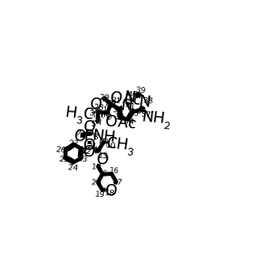 CC(=O)O[C@@H]1[C@@](C)(COP(=O)(N[C@@H](C)C(=O)OCC2CCOCC2)Oc2ccccc2)OC[C@]1(OC(C)=O)c1ccc2c(N)ncnn12